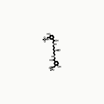 CS(=O)(=O)NCc1cc(C(O)CNCCCCCCNCC(O)c2ccc(O)c(CNS(C)(=O)=O)c2)ccc1O.Cl.Cl